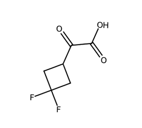 O=C(O)C(=O)C1CC(F)(F)C1